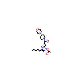 CCCCCc1cn(OC(C)=O)c(CCC(=O)N2CCC(N3CCOCC3)CC2)n1